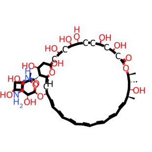 C[C@@H]1[C@H](O)[C@@H](C)/C=C/C=C/C=C/C=C/C=C/C=C/C=C/[C@H](O[C@@H]2O[C@H](C)[C@@H](O)[C@H](N)[C@H]2O)C[C@@H]2O[C@](O)(C[C@@H](O)C[C@@H](O)[C@H](O)CC[C@@H](O)C[C@@H](O)CC(=O)O[C@H]1C)C[C@H](O)[C@H]2C(=O)NC1CC(O)C1